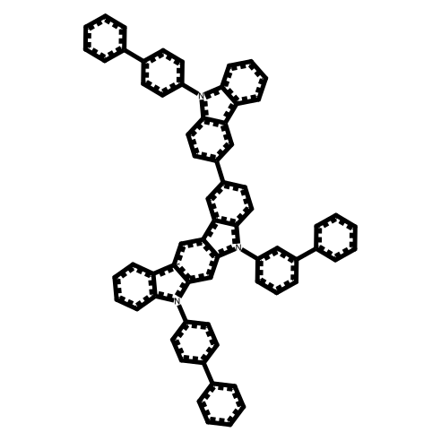 c1ccc(-c2ccc(-n3c4ccccc4c4cc(-c5ccc6c(c5)c5cc7c8ccccc8n(-c8ccc(-c9ccccc9)cc8)c7cc5n6-c5cccc(-c6ccccc6)c5)ccc43)cc2)cc1